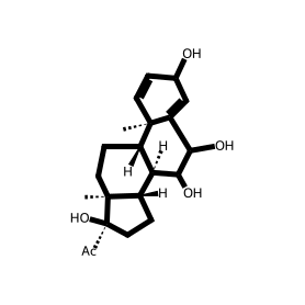 CC(=O)[C@@]1(O)CC[C@H]2[C@@H]3C(O)C(O)C4=CC(O)C=C[C@]4(C)[C@H]3CC[C@@]21C